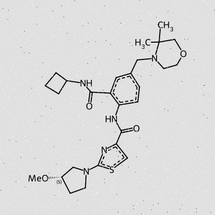 CO[C@H]1CCN(c2nc(C(=O)Nc3ccc(CN4CCOCC4(C)C)cc3C(=O)NC3CCC3)cs2)C1